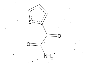 NC(=O)C(=O)c1cccs1